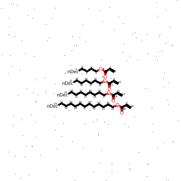 C=CC(=O)OCCCCCCCCCCCCCC.C=CC(=O)OCCCCCCCCCCCCCCCC.C=CC(=O)OCCCCCCCCCCCCCCCCCC.C=CC(=O)OCCCCCCCCCCCCCCCCCCCCCC